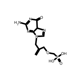 C=C(COCP(=O)(O)O)CN1C=NC2C(=O)N=C(N)N=C21